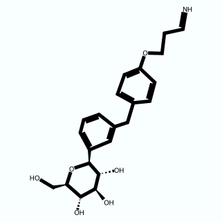 N=CCCOc1ccc(Cc2cccc([C@@H]3O[C@H](CO)[C@@H](O)[C@H](O)[C@H]3O)c2)cc1